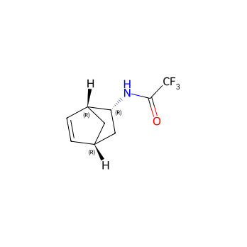 O=C(N[C@@H]1C[C@@H]2C=C[C@H]1C2)C(F)(F)F